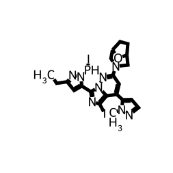 CCc1cc(-c2nc(I)c3c(-c4ccnn4C)cc(N4CC5CCC(C4)O5)nn23)n(PI)n1